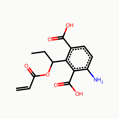 C=CC(=O)OC(CC)c1c(C(=O)O)ccc(N)c1C(=O)O